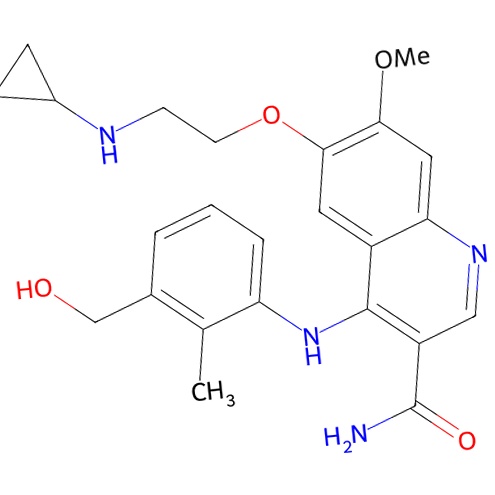 COc1cc2ncc(C(N)=O)c(Nc3cccc(CO)c3C)c2cc1OCCNC1CC1